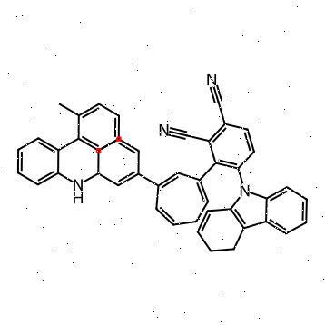 Cc1ccccc1-c1ccccc1NC1C=C(C2=CC(c3c(-n4c5c(c6ccccc64)CCC=C5)ccc(C#N)c3C#N)=CCC=C2)C=CC1